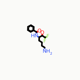 NCCCCC(NC(=O)c1ccccc1)C(=O)C(F)F